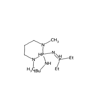 CC[PH](CC)=N[PH]1(NC(C)(C)C)N(C)CCCN1C